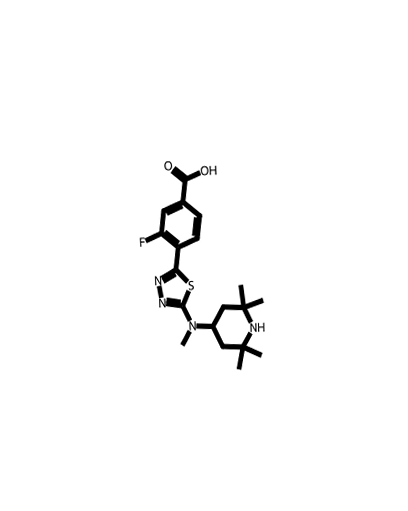 CN(c1nnc(-c2ccc(C(=O)O)cc2F)s1)C1CC(C)(C)NC(C)(C)C1